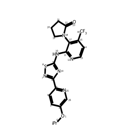 CC(C)Oc1ccc(-c2nsc(Nc3nccc(C(F)(F)F)c3N3CCCC3=O)n2)nc1